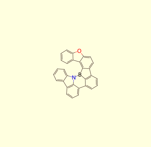 c1cc2c3c(c1)-c1cccc4c5ccccc5n(c14)B3c1c-2ccc2oc3ccccc3c12